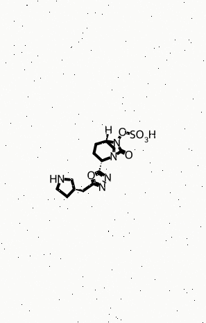 O=C1N2C[C@H](CC[C@H]2c2nnc(C[C@H]3CCNC3)o2)N1OS(=O)(=O)O